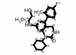 Cc1cc(F)ccc1-c1nc(N[C@H](C)CO)nc2c1CNC(=O)N2C1CCCCC1